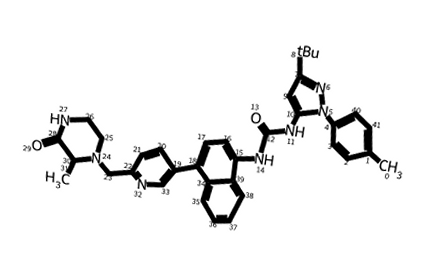 Cc1ccc(-n2nc(C(C)(C)C)cc2NC(=O)Nc2ccc(-c3ccc(CN4CCNC(=O)C4C)nc3)c3ccccc23)cc1